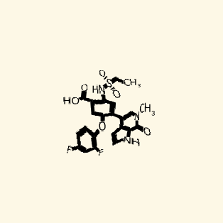 CCS(=O)(=O)Nc1cc(-c2cn(C)c(=O)c3[nH]ccc23)c(Oc2ccc(F)cc2F)cc1C(=O)O